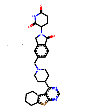 O=C1CCC(N2Cc3cc(CN4CCC(c5ncnc6sc7c(c56)CCCC7)CC4)ccc3C2=O)C(=O)N1